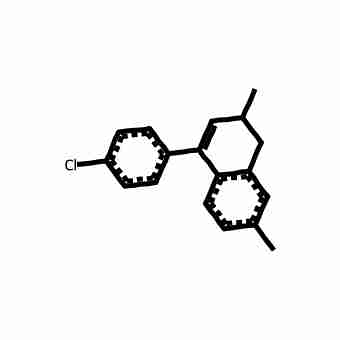 Cc1ccc2c(c1)CC(C)C=C2c1ccc(Cl)cc1